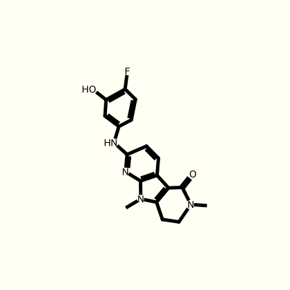 CN1CCc2c(c3ccc(Nc4ccc(F)c(O)c4)nc3n2C)C1=O